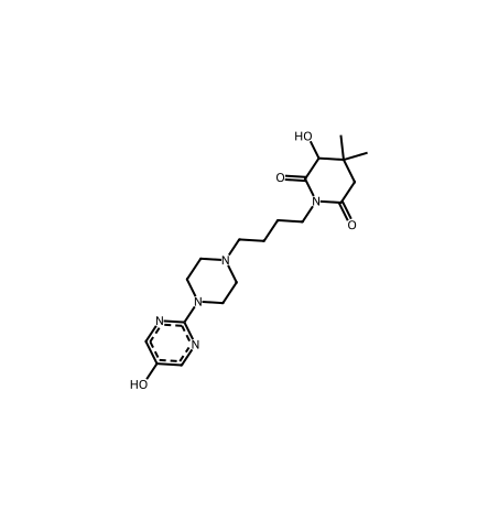 CC1(C)CC(=O)N(CCCCN2CCN(c3ncc(O)cn3)CC2)C(=O)C1O